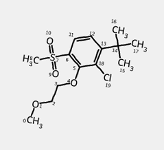 COCCOc1c(S(C)(=O)=O)ccc(C(C)(C)C)c1Cl